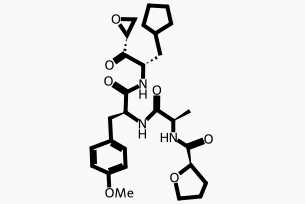 COc1ccc(C[C@H](NC(=O)[C@@H](C)NC(=O)[C@H]2CCCO2)C(=O)N[C@@H](CC2CCCC2)C(=O)[C@H]2CO2)cc1